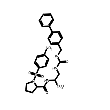 O=C(NCc1ccc(-c2ccccc2)cc1)NCC(NC(=O)C1CCCN1S(=O)(=O)c1ccc([N+](=O)[O-])cc1)C(=O)O